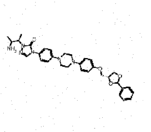 CC(N)C(C)n1ncn(-c2ccc(N3CCN(c4ccc(OC[C@@H]5COC(c6ccccc6)O5)cc4)CC3)cc2)c1=O